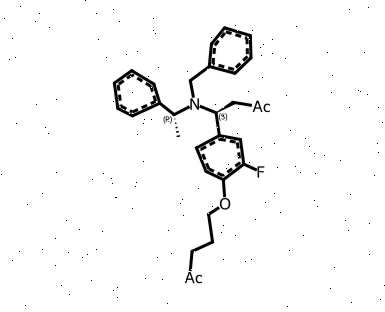 CC(=O)CCCOc1ccc([C@H](CC(C)=O)N(Cc2ccccc2)[C@H](C)c2ccccc2)cc1F